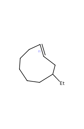 [CH2]CC1C/C=C/CCCCC1